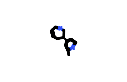 Cc1cc([C@@H]2CC#CC=NC2)ccn1